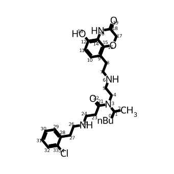 CCCCC(C)N(CCNCCc1ccc(O)c2c1OCC(=O)N2)C(=O)CCNCCc1ccccc1Cl